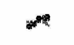 CC(NC(=O)c1cccc(NCc2nnc(-c3ccncn3)n2C)c1)c1ncccc1F